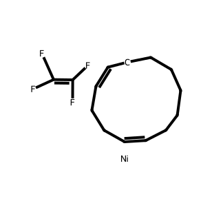 C1=CCCCCCCC=CCC1.FC(F)=C(F)F.[Ni]